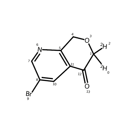 [2H]C1([2H])OCc2ncc(Br)cc2C1=O